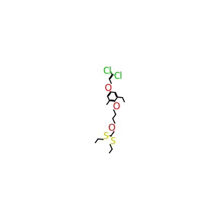 CCCSC(COCCCCOc1c(C)cc(OCC=C(Cl)Cl)cc1CC)SCCC